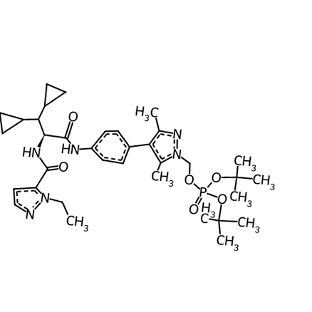 CCn1nccc1C(=O)N[C@H](C(=O)Nc1ccc(-c2c(C)nn(COP(=O)(OC(C)(C)C)OC(C)(C)C)c2C)cc1)C(C1CC1)C1CC1